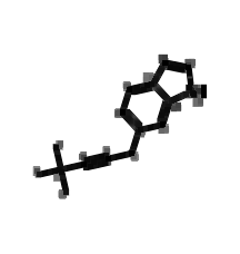 CC(C)(C)C#CCc1ccc2cc[nH]c2c1